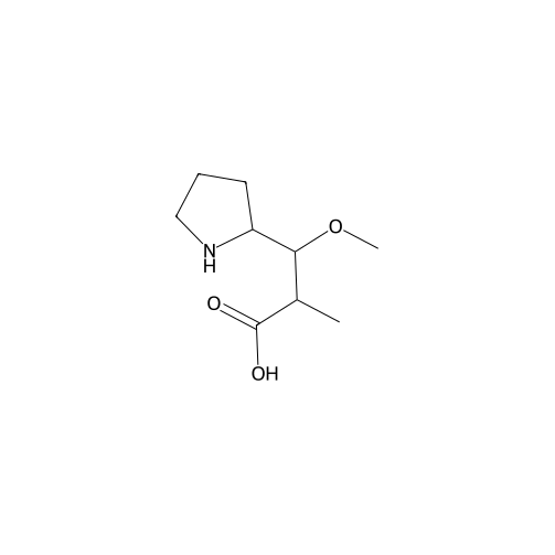 COC(C1CCCN1)C(C)C(=O)O